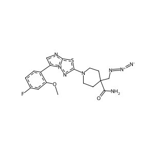 COc1cc(F)ccc1-c1cnc2sc(N3CCC(CN=[N+]=[N-])(C(N)=O)CC3)nn12